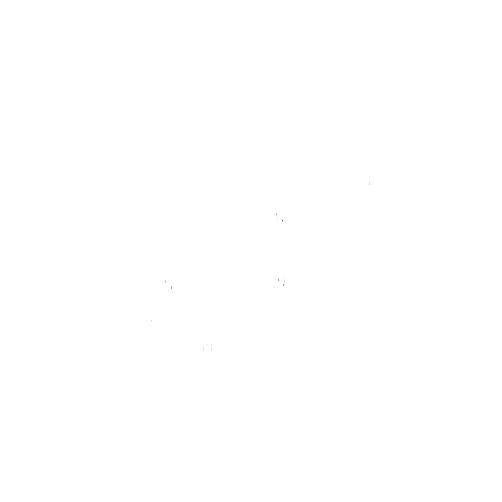 CC1CN(c2cc3c(cn2)OCC(=O)N3)C(c2cccc(F)c2)CO1